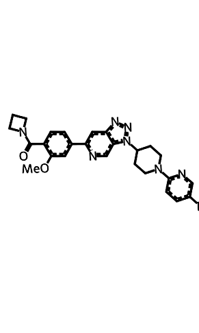 CCc1ccc(N2CCC(n3nnc4cc(-c5ccc(C(=O)N6CCC6)c(OC)c5)ncc43)CC2)nc1